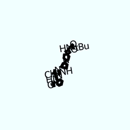 CC(C)(C)OC(=O)NC1CC2(CCN(c3ccc(Nc4ncc(Cl)c(Nc5ccccc5P(C)(C)=O)n4)cc3)CC2)C1